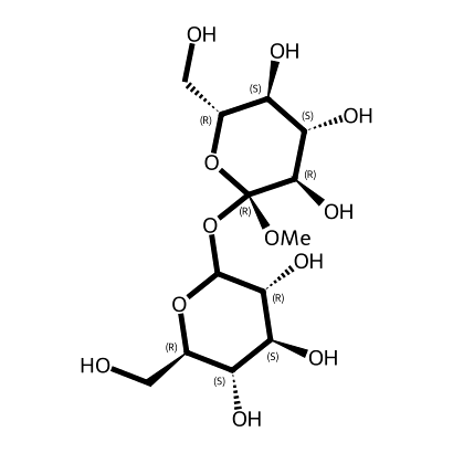 CO[C@@]1(OC2O[C@H](CO)[C@@H](O)[C@H](O)[C@H]2O)O[C@H](CO)[C@@H](O)[C@H](O)[C@H]1O